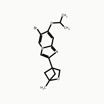 CC(C)Oc1cc2nc(C34COC(C)(C3)C4)cn2cc1Br